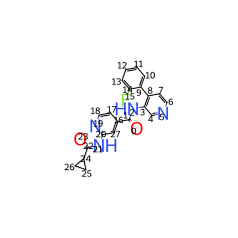 O=C(Nc1cnccc1-c1ccccc1F)c1ccnc(NC(=O)C2CC2)c1